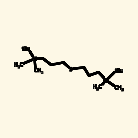 CC(C)(C)[Si](C)(C)CCCSCCC[Si](C)(C)C(C)(C)C